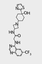 O=C(CNc1ncnc2ccc(C(F)(F)F)cc12)NC1CN(C2CCC(O)(c3nccs3)CC2)C1